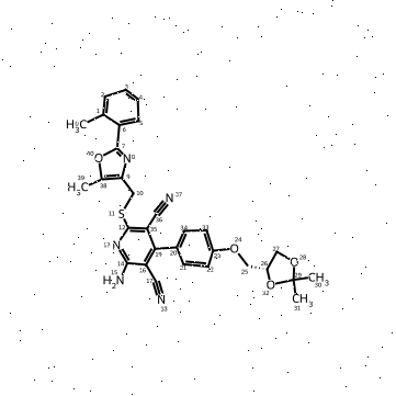 Cc1ccccc1-c1nc(CSc2nc(N)c(C#N)c(-c3ccc(OC[C@@H]4COC(C)(C)O4)cc3)c2C#N)c(C)o1